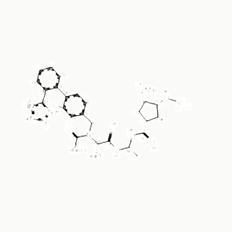 CCCCC(=O)N(Cc1ccc(-c2ccccc2-c2nnn[nH]2)cc1)[C@H](C(=O)O[C@H](C)OC(=O)[C@@H]1C[C@H](OC)[C@@H](O[N+](=O)[O-])C1)C(C)C